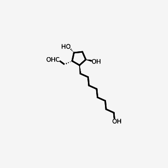 O=CC[C@H]1[C@H](CCCCCCCCO)[C@H](O)C[C@H]1O